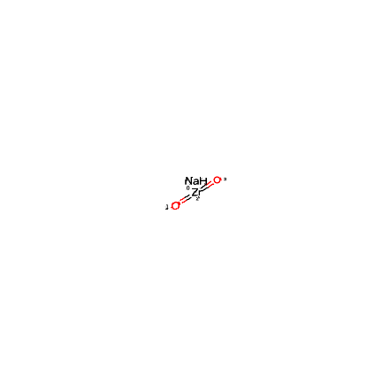 [NaH].[O]=[Zr]=[O]